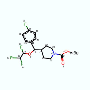 CC(C)(C)OC(=O)N1CCC(C(OC(F)C(F)F)c2ccc(F)cc2)CC1